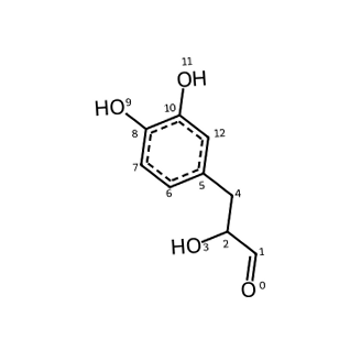 O=CC(O)Cc1ccc(O)c(O)c1